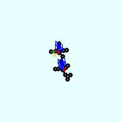 c1cc(-c2cnc3nc(-n4c5ccc(-c6ccc7c8ccccc8c8ccccc8c7c6)cc5c5cc6ccccc6cc54)c(-c4cccc5ccccc45)nc3n2)cc(-c2cccc3c2c2cc4ccccc4cc2n3-c2nc3cccnc3nc2-c2ccc3sc4ccccc4c3c2)c1